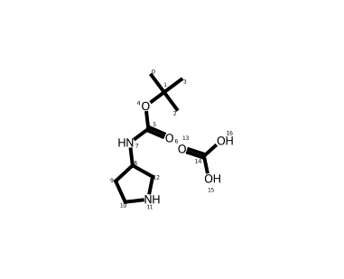 CC(C)(C)OC(=O)NC1CCNC1.O=C(O)O